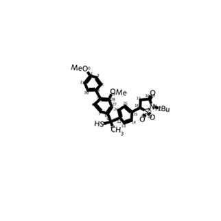 COc1ccc(-c2ccc(C(C)(S)c3ccc(C4CC(=O)N(C(C)(C)C)S4(=O)=O)cc3)cc2OC)cc1